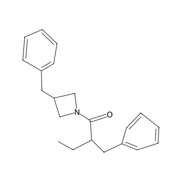 CCC(Cc1ccccc1)C(=O)N1CC(Cc2ccccc2)C1